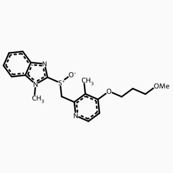 COCCCOc1ccnc(C[S+]([O-])c2nc3ccccc3n2C)c1C